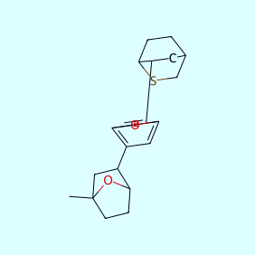 CC12CCC(O1)C(c1cc3c(C4CC5CCC4SC5)cc1CO3)C2